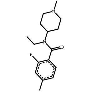 CCN(C(=O)c1ccc(C)cc1F)C1CCN(C)CC1